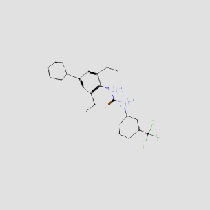 CCc1cc(C2CCCCC2)cc(CC)c1NC(=S)NC1CCCC(C(F)(F)F)C1